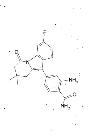 CC1(C)CC(=O)n2c(c(-c3ccc(C(N)=O)c(N)c3)c3ccc(F)cc32)C1